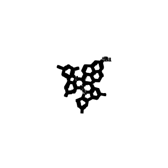 Cc1ccc2c(c1)c1cc(C)cc3c1n2B1c2c-3c3ccc4cc(C(C)(C)C)cc5ccc(c2-n2c6c(C)cc(C)cc6c6cc(C)cc1c62)c3c45